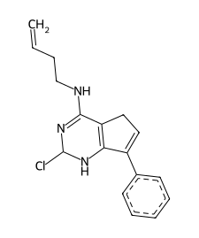 C=CCCNC1=NC(Cl)NC2=C1CC=C2c1ccccc1